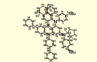 CC(C)(C)c1ccc(N2c3cc4c(cc3B3c5cc(-c6ccccc6)ccc5N(c5ccc(-c6ccccc6)cc5)c5cc(N6c7ccc(C(C)(C)C)cc7C7(C)CCCC67C)cc2c53)C(C)(C)CCC4(C)C)c(-c2ccccc2)c1